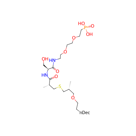 CCCCCCCCCCCCOC[C@@H](C)CSC[C@H](C)C(=O)N[C@@H](CO)C(=O)NCCOCCOCCP(=O)(O)O